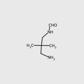 CC(C)(CN)CNC=O